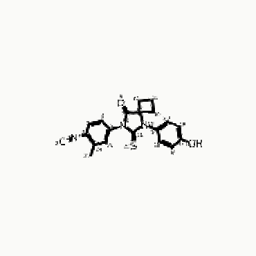 [C-]#[N+]c1ccc(N2C(=O)C3(CCC3)N(c3ccc(O)cc3)C2=S)cc1C